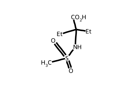 CCC(CC)(NS(C)(=O)=O)C(=O)O